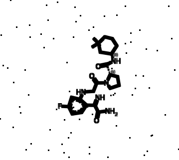 CC1(C)CCC[C@@H](NC(=O)[C@@H]2CCCN2C(=O)CNc2cc(F)ccc2C(=N)C(N)=O)C1